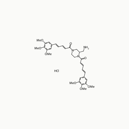 COc1cc(/C=C/C=C/C(=O)N2CCN(C(=O)/C=C/C=C/c3cc(OC)c(OC)c(OC)c3)C(CN)C2)cc(OC)c1OC.Cl